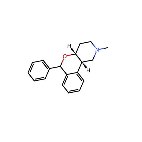 CN1CC[C@H]2OC(c3ccccc3)c3ccccc3[C@H]2C1